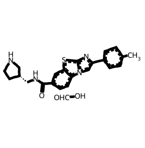 Cc1ccc(-c2cn3c(n2)sc2cc(C(=O)NC[C@@H]4CCNC4)ccc23)cc1.O=CO